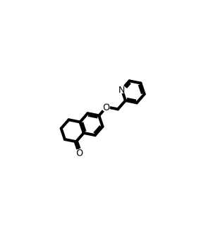 O=C1CCCc2cc(OCc3ccccn3)ccc21